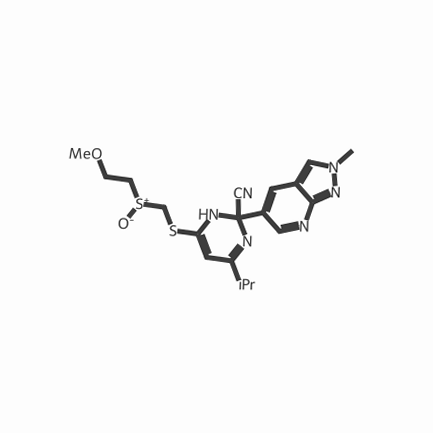 COCC[S+]([O-])CSC1=CC(C(C)C)=NC(C#N)(c2cnc3nn(C)cc3c2)N1